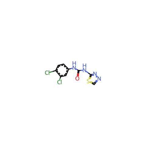 O=C(Nc1ccc(Cl)c(Cl)c1)Nc1nncs1